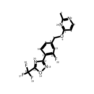 Cc1nccc(OCc2ccc(-c3noc(C(F)(F)F)n3)c(F)c2)n1